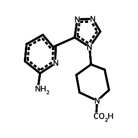 Nc1cccc(-c2nncn2C2CCN(C(=O)O)CC2)n1